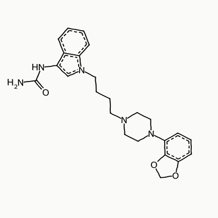 NC(=O)Nc1cn(CCCCN2CCN(c3cccc4c3OCO4)CC2)c2ccccc12